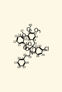 COc1cc(CC2(OC(=O)c3ccccc3)C(=O)N(CCc3ccccc3)c3ccc(Cl)cc32)cc(OC)c1OC